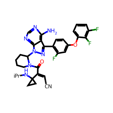 CC(C)NC1(C(=CC#N)C(=O)N2CCCCC2n2nc(-c3ccc(Oc4cccc(F)c4F)cc3F)c3c(N)ncnc32)CC1